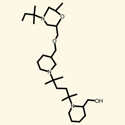 CCC(C)(C)N1CC(C)OC(COCC2CCCN(C(C)(C)CCC(C)(C)N3CCCCC3CO)C2)C1